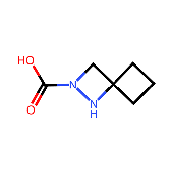 O=C(O)N1CC2(CCC2)N1